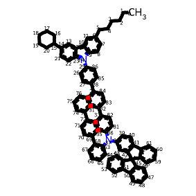 CCCCCCc1ccc2c(c1)c1cc(C3CCCCC3)ccc1n2-c1ccc(-c2ccc(-c3ccc(N(c4ccc5c(c4)C4(c6ccccc6-c6ccccc64)c4ccccc4-5)c4ccccc4-c4ccc(-c5ccccc5)cc4)cc3)cc2)cc1